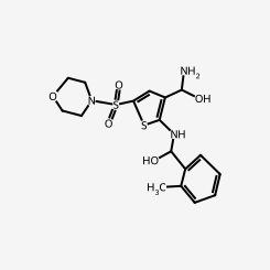 Cc1ccccc1C(O)Nc1sc(S(=O)(=O)N2CCOCC2)cc1C(N)O